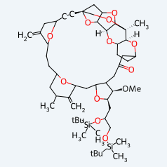 C=C1CC2CC[C@@]34CC5OC6[C@@H](OC7CCC(CC(=O)CC8C(CC9OC(CCC1O2)CC(C)C9=C)O[C@H](CC(CO[Si](C)(C)C(C)(C)C)O[Si](C)(C)C(C)(C)C)[C@@H]8OC)O[C@@H]7[C@@]6(C)O3)C5O4